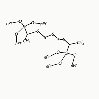 CCCO[Si](OCCC)(OCCC)C(C)SSSSSC(C)[Si](OCCC)(OCCC)OCCC